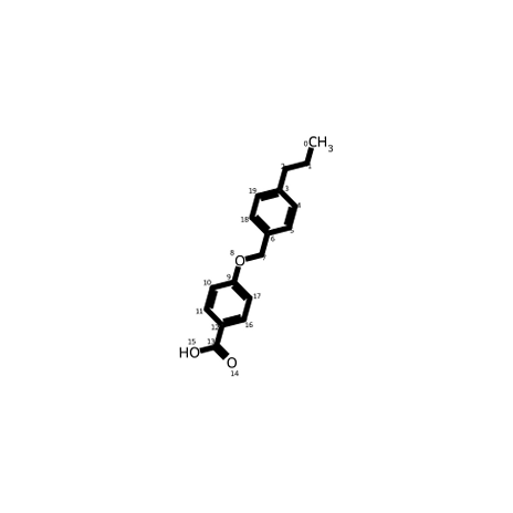 CCCc1ccc(COc2ccc(C(=O)O)cc2)cc1